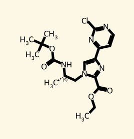 CCOC(=O)c1nc(-c2ccnc(Cl)n2)cn1C[C@H](C)NC(=O)OC(C)(C)C